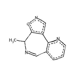 CC1N=Cc2cccnc2-c2cnoc21